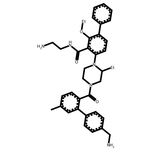 CCOc1c(-c2ccccc2)ccc(N2CCN(C(=O)c3ccc(C)cc3-c3ccc(CN)cc3)CC2CC)c1C(=O)NCCN